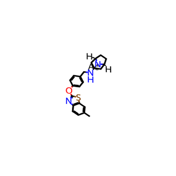 CC(=O)N1[C@@H]2CC[C@H]1CC(NCc1ccc(Oc3nc4ccc(C)cc4s3)cc1)C2